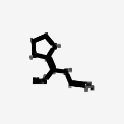 C=CSC(SC)=C1SCCS1